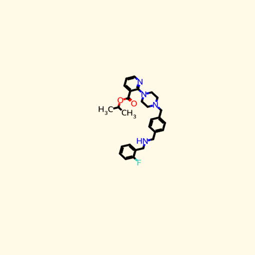 CC(C)OC(=O)c1cccnc1N1CCN(Cc2ccc(CNCc3ccccc3F)cc2)CC1